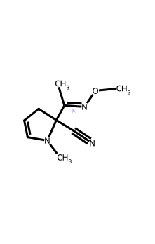 CO/N=C(\C)C1(C#N)CC=CN1C